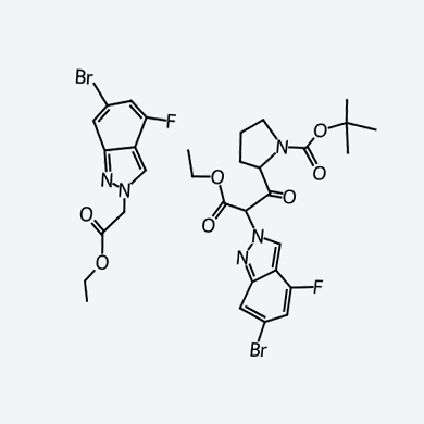 CCOC(=O)C(C(=O)C1CCCN1C(=O)OC(C)(C)C)n1cc2c(F)cc(Br)cc2n1.CCOC(=O)Cn1cc2c(F)cc(Br)cc2n1